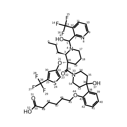 CCC[C@H]1N(C(O)c2ncccc2C(F)(F)F)CCC[C@@]1(Oc1csc(C(F)(F)F)c1)C(=O)N1CCC(O)(c2ccccc2OCCCCCC(=O)O)CC1